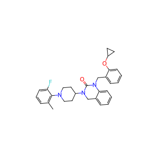 Cc1cccc(F)c1N1CCC(N2Cc3ccccc3N(Cc3ccccc3OC3CC3)C2=O)CC1